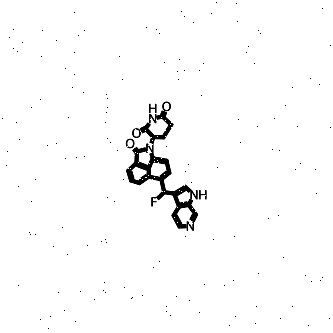 O=C1CCC(N2C(=O)c3cccc4c(C(F)c5c[nH]c6cnccc56)ccc2c34)C(=O)N1